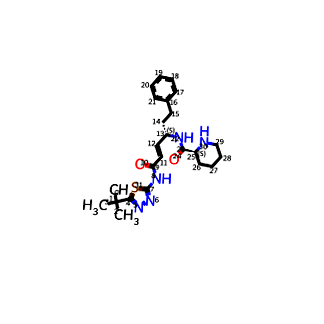 CC(C)(C)c1nnc(NC(=O)C=C[C@H](CCc2ccccc2)NC(=O)[C@@H]2CCCCN2)s1